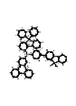 CC1(C)c2ccccc2-c2ccc(-c3ccc(N(c4ccc5c6ccccc6c6ccccc6c5c4)c4cccc5c4-c4ccccc4C5(c4ccccc4)c4ccccc4)cc3)cc21